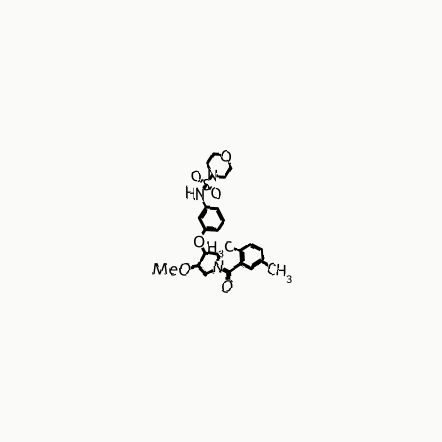 COC1CN(C(=O)c2cc(C)ccc2C)CC1Oc1cccc(NS(=O)(=O)N2CCOCC2)c1